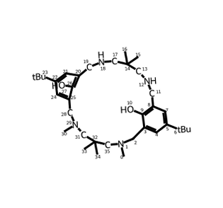 CN1Cc2cc(C(C)(C)C)cc(c2O)CNCC(C)(C)CNCc2cc(C(C)(C)C)cc(c2O)CN(C)CC(C)(C)C1